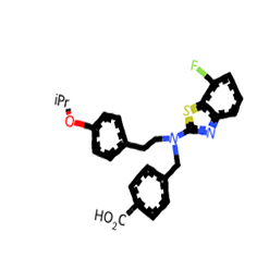 CC(C)Oc1ccc(CCN(Cc2ccc(C(=O)O)cc2)c2nc3cccc(F)c3s2)cc1